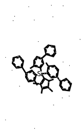 CC1=C(C)C(C)C([Si](c2cc(-c3ccccc3)ccc2C)(c2cc(-c3ccccc3)ccc2C)c2cc(-c3ccccc3)ccc2C)=C1C